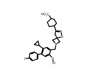 CCOc1cc(-c2ccc(F)cc2)c(C2CC2)cc1CN1CC2(CC(C3CCC(C(=O)O)CC3)=NO2)C1